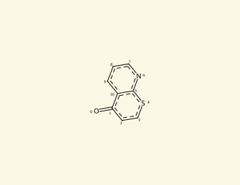 O=c1ccsc2ncccc12